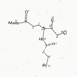 CNC(=O)CCN(NC(=O)[CH]CC(C)C)C(=O)CCl